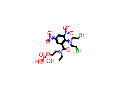 CCN(CCOP(=O)(O)O)C(=O)c1cc([N+](=O)[O-])cc([N+](=O)[O-])c1N(CCBr)CCBr